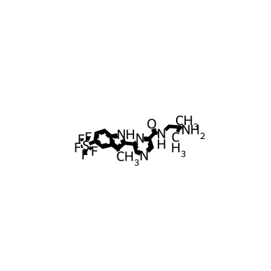 Cc1c(-c2cncc(C(=O)NCC(C)(C)N)n2)[nH]c2ccc(S(F)(F)(F)(F)F)cc12